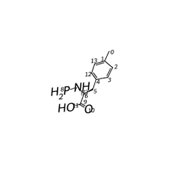 Cc1ccc(C[C@H](NP)C(=O)O)cc1